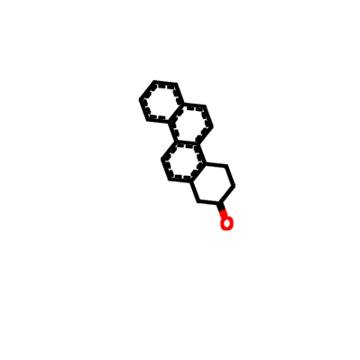 O=C1CCc2c(ccc3c2ccc2ccccc23)C1